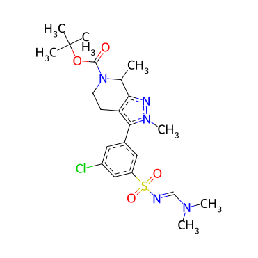 CC1c2nn(C)c(-c3cc(Cl)cc(S(=O)(=O)/N=C/N(C)C)c3)c2CCN1C(=O)OC(C)(C)C